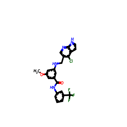 COc1cc(NCc2cnc3[nH]ccc3c2Cl)cc(C(=O)Nc2cccc(C(F)(F)F)c2)c1